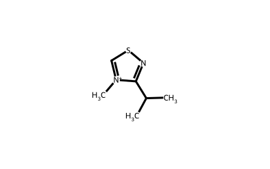 CC(C)c1nsc[n+]1C